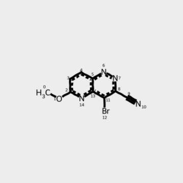 COc1ccc2nnc(C#N)c(Br)c2n1